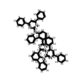 c1ccc(-c2cc(-c3ccccc3)nc(-n3c4ccccc4c4c(-c5nnc(-c6cccc7c8ccccc8n(-c8nc(-c9ccccc9)cc(-c9ccccc9)n8)c67)s5)cccc43)n2)cc1